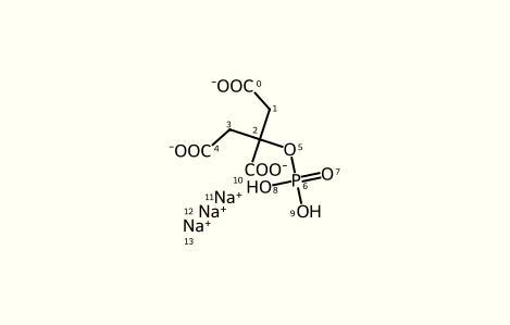 O=C([O-])CC(CC(=O)[O-])(OP(=O)(O)O)C(=O)[O-].[Na+].[Na+].[Na+]